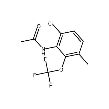 CC(=O)Nc1c(Cl)ccc(C)c1OC(F)(F)F